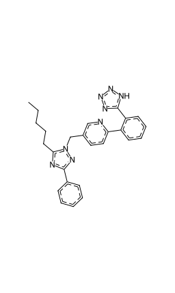 CCCCCc1nc(-c2ccccc2)nn1Cc1ccc(-c2ccccc2-c2nnn[nH]2)nc1